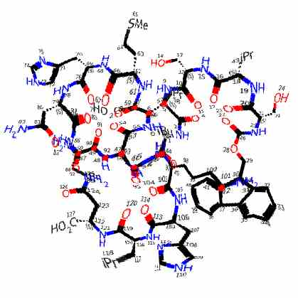 CC[C@H](C)[C@H](NC(=O)[C@H](CCC(=O)O)NC(=O)[C@H](CO)NC(=O)[C@@H](NC(=O)[C@H](CO)NC(=O)OCC1c2ccccc2-c2ccccc21)C(C)C)C(=O)N[C@@H](CCC(N)=O)C(=O)N[C@@H](CC(C)C)C(=O)N[C@@H](CCSC)C(=O)N[C@@H](Cc1c[nH]cn1)C(=O)N[C@@H](CC(N)=O)C(=O)N[C@@H](CC(C)C)C(=O)NCC(=O)N[C@@H](CCCCN)C(=O)N[C@@H](Cc1c[nH]cn1)C(=O)N[C@@H](CC(C)C)C(=O)N[C@@H](CC(N)=O)C(=O)O